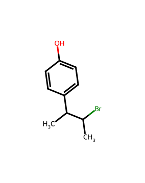 CC(Br)C(C)c1ccc(O)cc1